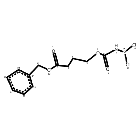 O=C(CCCOC(=O)NP(Cl)Cl)OCc1ccccc1